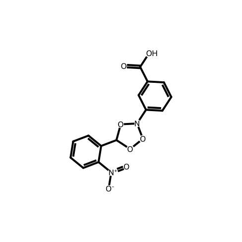 O=C(O)c1cccc(N2OOC(c3ccccc3[N+](=O)[O-])O2)c1